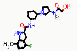 CCN(C(=O)CO)[C@@H]1CCN(C2CCC[C@@H](NC(=O)C3Cc4c(F)ccc(C)c4N3)C2)C1